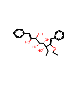 CCOC(=Cc1ccccc1)[C@@](O)(CC)[C@@H](O)[C@H](O)[C@H](O)C(O)=Cc1ccccc1